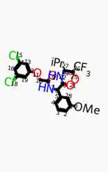 COc1cccc(C(NC(=O)COc2cc(Cl)cc(Cl)c2)C(=O)N[C@H](C(=O)C(F)(F)F)C(C)C)c1